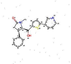 CN1C(=O)C[C@H](c2ccccc2)[C@@H]1C(O)c1ccc(-c2cccnc2)s1